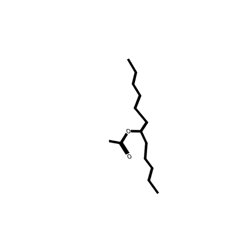 CCCCCCC(CCCCC)OC(C)=O